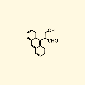 O=CC(CO)c1c2ccccc2cc2ccccc12